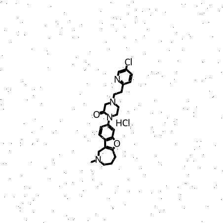 CN1CCCc2oc3cc(N4CCN(CCc5ccc(Cl)cn5)CC4=O)ccc3c2C1.Cl